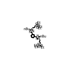 CCCCc1nc(-c2cccc(-c3nc(CCCC)n(CCC[Si](OCC)(OCC)OCC)n3)c2)nn1CCC[Si](OCC)(OCC)OCC